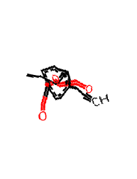 C#Cc1cc2ccc1c(=O)oc2=O